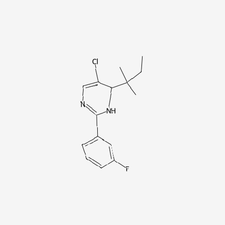 CCC(C)(C)C1NC(c2cccc(F)c2)=NC=C1Cl